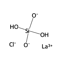 [Cl-].[La+3].[O-][Si]([O-])(O)O